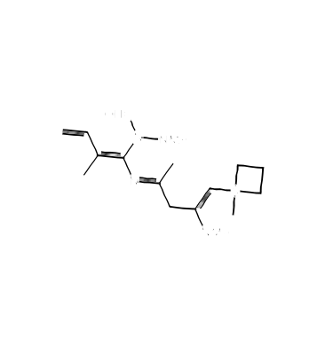 C=C/C(C)=C(/N=C(\C)C/C(=C/S1(C)CCC1)NC)N(C=O)NC